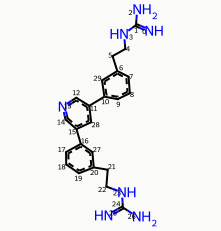 N=C(N)NCCc1cccc(-c2cncc(-c3cccc(CCNC(=N)N)c3)c2)c1